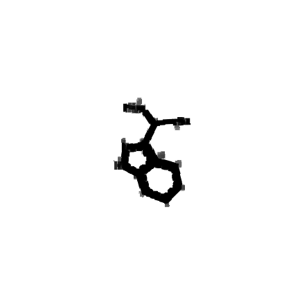 CCCCCCC(CCCC)c1n[nH]c2ccccc12